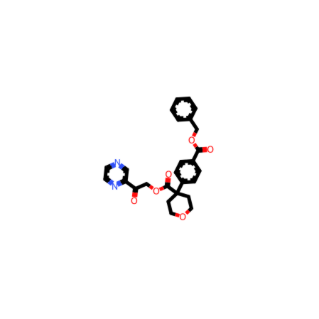 O=C(OCc1ccccc1)c1ccc(C2(C(=O)OCC(=O)c3cnccn3)CCOCC2)cc1